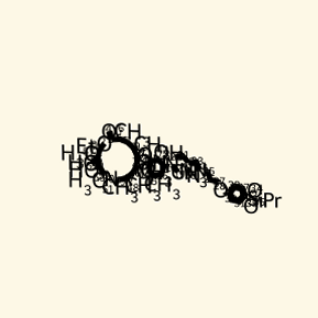 CC[C@H]1OC(=O)[C@H](C)C[C@H](C)[C@@H](O[C@@H]2O[C@H](C)C[C@H](N(C)CCc3cn(CCCOc4ccc(S(=O)(=O)C(C)C)cc4)nn3)[C@H]2O)[C@](C)(O)C[C@@H](C)CN(C)[C@H](C)[C@@H](O)[C@]1(C)O